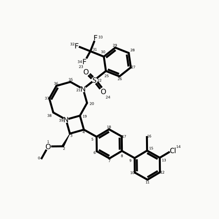 COC[C@@H]1C(c2ccc(-c3cccc(Cl)c3C)cc2)C2CN(S(=O)(=O)c3ccccc3C(F)(F)F)C/C=C\CN21